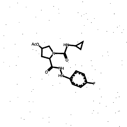 CC(=O)OC1CC(C(=O)NNc2ccc(F)cc2)N(C(=O)NC2CC2)C1